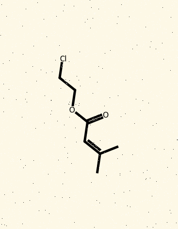 CC(C)=CC(=O)OCCCl